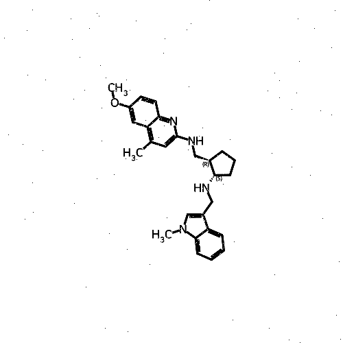 COc1ccc2nc(NC[C@H]3CCC[C@@H]3NCc3cn(C)c4ccccc34)cc(C)c2c1